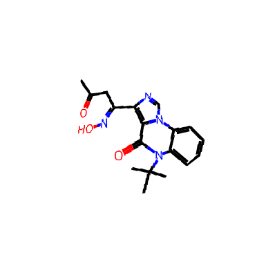 CC(=O)CC(=NO)c1ncn2c1c(=O)n(C(C)(C)C)c1ccccc12